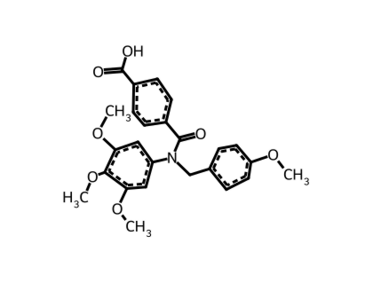 COc1ccc(CN(C(=O)c2ccc(C(=O)O)cc2)c2cc(OC)c(OC)c(OC)c2)cc1